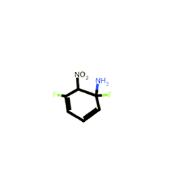 NC1(F)C=CC=C(F)C1[N+](=O)[O-]